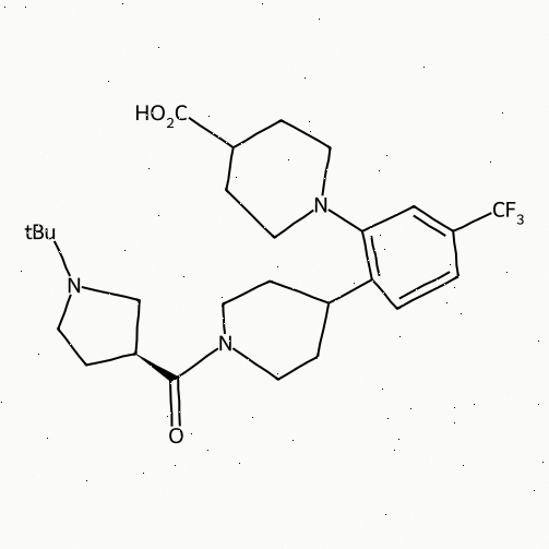 CC(C)(C)N1CC[C@H](C(=O)N2CCC(c3ccc(C(F)(F)F)cc3N3CCC(C(=O)O)CC3)CC2)C1